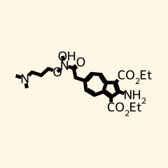 CCOC(=O)c1c2ccc(CC(=O)N(O)OCCCN(C)C)ccc-2c(C(=O)OCC)c1N